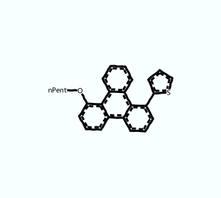 CCCCCOc1cccc2c3cccc(-c4cccs4)c3c3ccccc3c12